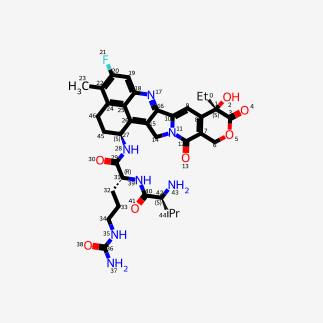 CC[C@@]1(O)C(=O)OCc2c1cc1n(c2=O)Cc2c-1nc1cc(F)c(C)c3c1c2[C@@H](NC(=O)[C@@H](CCCNC(N)=O)NC(=O)[C@@H](N)C(C)C)CC3